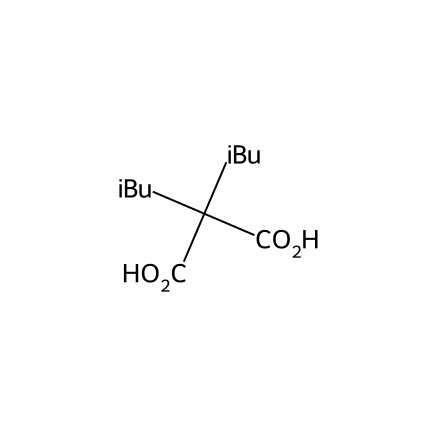 CCC(C)C(C(=O)O)(C(=O)O)C(C)CC